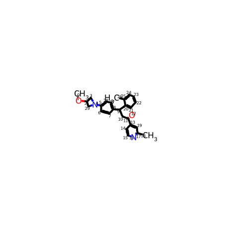 COC1CN(c2ccc(C(CC(=O)c3ccnc(C)c3)c3ccccc3C)cc2)C1